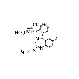 COc1ccccc1C1=NCC(SCCN(C)C)=Nc2ccc(Cl)cc21.O=C(O)C=CC(=O)O